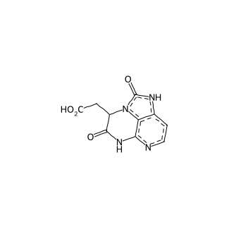 O=C(O)CC1C(=O)Nc2nccc3[nH]c(=O)n1c23